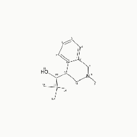 CN1Cc2ccccc2C(C(O)C(C)(C)C)C1